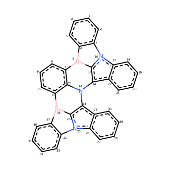 c1ccc2c(c1)B1c3cccc4c3N(c3c1n-2c1ccccc31)c1c2n(c3ccccc13)-c1ccccc1B42